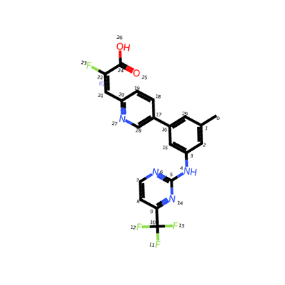 Cc1cc(Nc2nccc(C(F)(F)F)n2)cc(-c2ccc(/C=C(/F)C(=O)O)nc2)c1